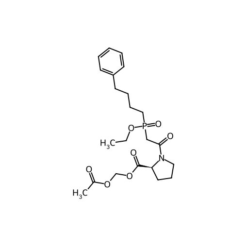 CCOP(=O)(CCCCc1ccccc1)CC(=O)N1CCC[C@H]1C(=O)OCOC(C)=O